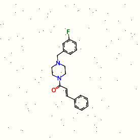 O=C(C=Cc1ccccc1)N1CCN(Cc2cccc(F)c2)CC1